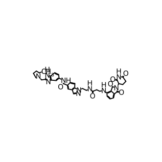 CC1CCCN1Cc1nc2cc(NC(=O)c3ccc4c(cnn4CCNC(=O)CCNc4cccc5c4C(=O)N(C4CCC(=O)NC4=O)C5=O)c3)ccc2[nH]1